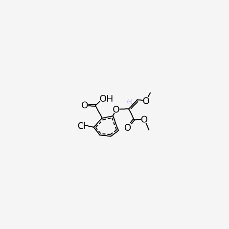 CO/C=C(/Oc1cccc(Cl)c1C(=O)O)C(=O)OC